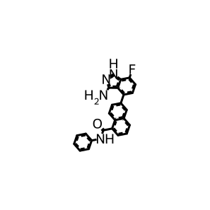 Nc1n[nH]c2c(F)ccc(-c3ccc4c(C(=O)Nc5ccccc5)cccc4c3)c12